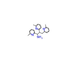 Cc1cccc(CC(c2cccc(C)n2)C(N)c2cccc(C)n2)n1